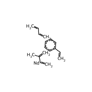 C=CC(=C)C.C=CC=C.C=Cc1ccccc1.[Nd]